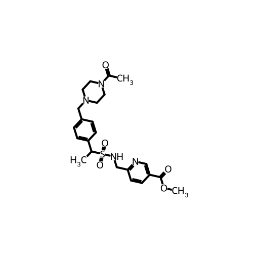 COC(=O)c1ccc(CNS(=O)(=O)C(C)c2ccc(CN3CCN(C(C)=O)CC3)cc2)nc1